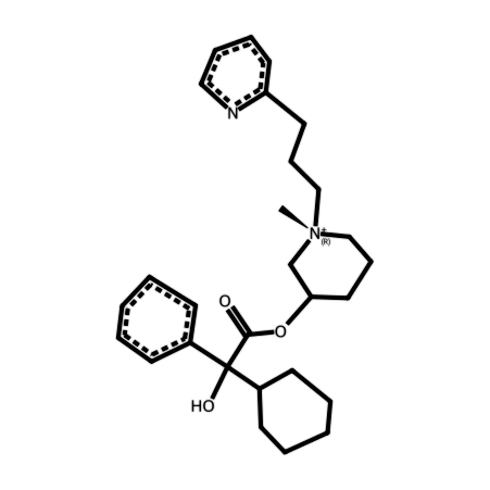 C[N@@+]1(CCCc2ccccn2)CCCC(OC(=O)C(O)(c2ccccc2)C2CCCCC2)C1